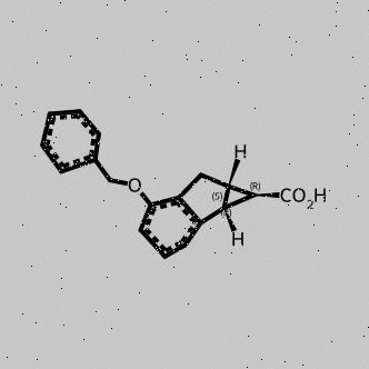 O=C(O)[C@@H]1[C@H]2Cc3c(OCc4ccccc4)cccc3[C@H]21